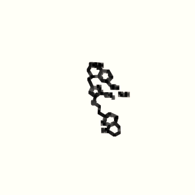 Cn1nc(CC(CC(=O)O)c2cc(C(C)(C)C)ccc2O)cc1OCCc1ccc2c(n1)NCCC2.[NaH]